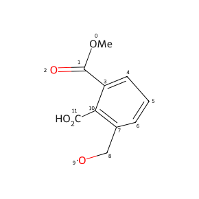 COC(=O)c1cccc(C[O])c1C(=O)O